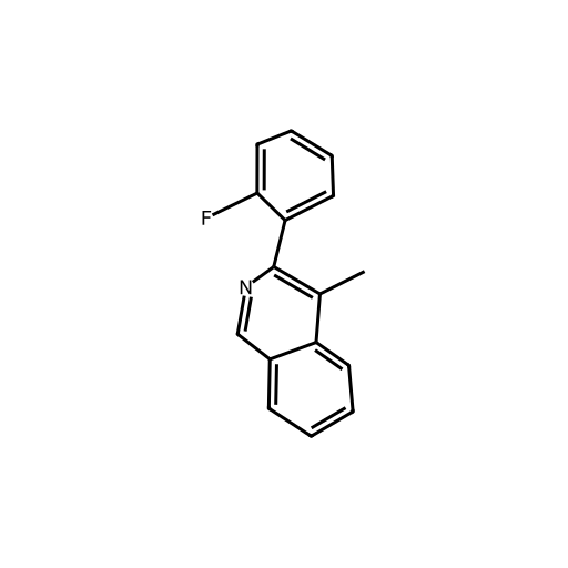 Cc1c(-c2ccccc2F)ncc2ccccc12